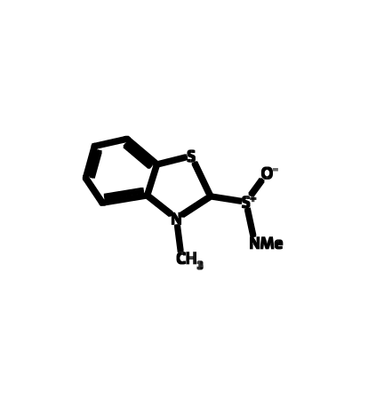 CN[S+]([O-])C1Sc2ccccc2N1C